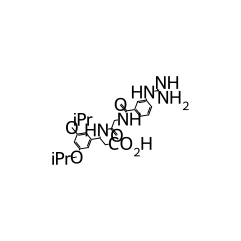 CC(C)Oc1cc(OC(C)C)cc(C(CC(=O)O)NC(=O)CNC(=O)c2cccc(NC(=N)N)c2)c1